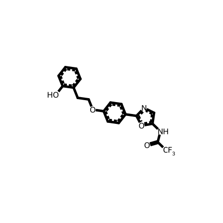 O=C(Nc1cnc(-c2ccc(OCCc3ccccc3O)cc2)o1)C(F)(F)F